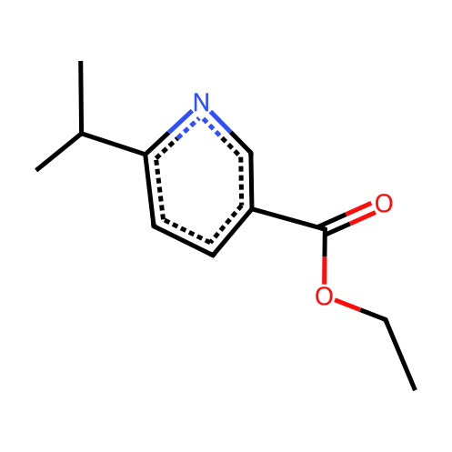 CCOC(=O)c1ccc(C(C)C)nc1